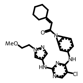 COCCn1cc(Nc2ncc(Cl)c(Nc3ccc4c(c3)N4C(=O)C=C3CCCCC3)n2)cn1